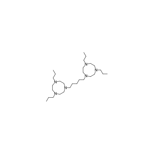 CCCN1CCN(CCC)CCN(CCCCCN2CCN(CCC)CCN(CCC)CC2)CC1